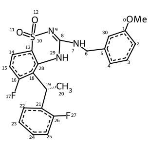 COc1cccc(CNC2=NS(=O)(=O)c3ccc(F)c([C@H](C)c4ccccc4F)c3N2)c1